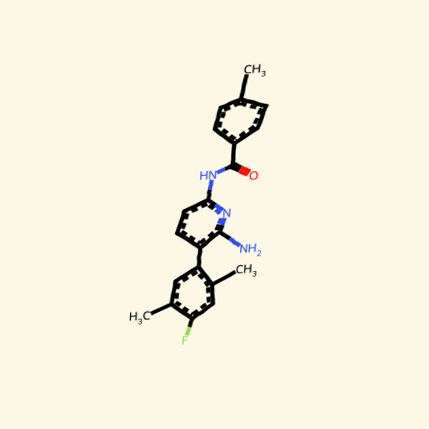 Cc1ccc(C(=O)Nc2ccc(-c3cc(C)c(F)cc3C)c(N)n2)cc1